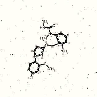 COc1nc(Cl)ccc1-n1ccc(OCc2c(C)cccc2N(N)C(=O)NN)n1